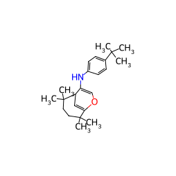 CC1(C)CCC(C)(C)C2C=C1OC=C2Nc1ccc(C(C)(C)C)cc1